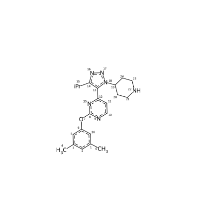 Cc1cc(C)cc(Oc2nccc(-c3c(C(C)C)nnn3C3CCNCC3)n2)c1